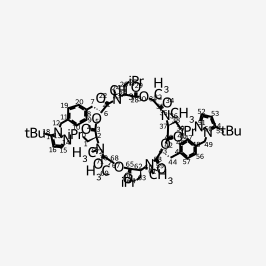 CC(C)C[C@H]1C(=O)O[C@H](Cc2ccc(Cn3nccc3C(C)(C)C)cc2)C(=O)N(C)[C@@H](CC(C)C)C(=O)O[C@H](C)C(=O)N(C)[C@@H](CC(C)C)C(=O)O[C@H](Cc2ccc(Cn3nccc3C(C)(C)C)cc2)C(=O)N(C)[C@@H](CC(C)C)C(=O)O[C@H](C)C(=O)N1C